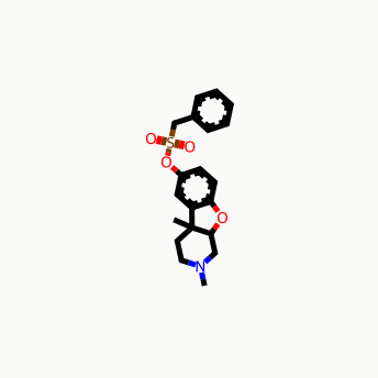 CN1CCC2(C)c3cc(OS(=O)(=O)Cc4ccccc4)ccc3OC2C1